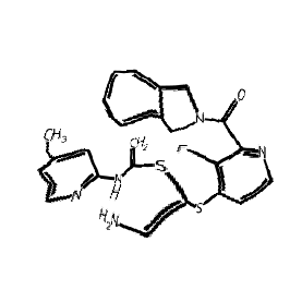 C=C(Nc1cc(C)ccn1)S/C(=C\N)Sc1ccnc(C(=O)N2Cc3ccccc3C2)c1F